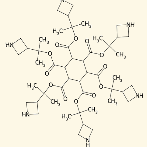 CC(C)(OC(=O)C1C(C(=O)OC(C)(C)C2CNC2)C(C(=O)OC(C)(C)C2CNC2)C(C(=O)OC(C)(C)C2CNC2)C(C(=O)OC(C)(C)C2CNC2)C1C(=O)OC(C)(C)C1CNC1)C1CNC1